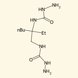 CCCCC(CC)(CNC(=O)NN)NC(=O)NN